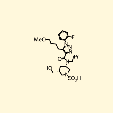 COCCCCc1c(C(=O)N(CC(C)C)[C@H]2C[C@@H](CO)CN(C(=O)O)C2)nnn1-c1ccccc1F